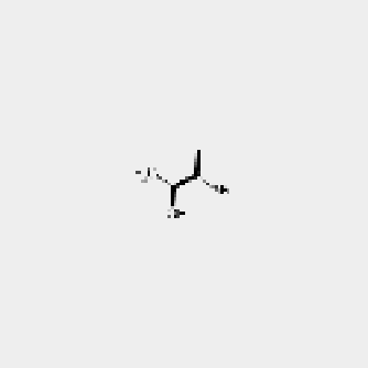 CC(C)[C@@H](C)[C@H](O)C(F)(F)F